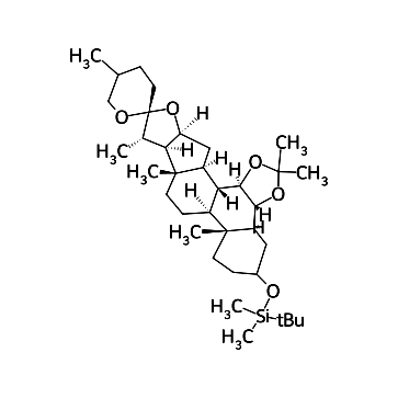 CC1CC[C@@]2(OC1)O[C@H]1C[C@H]3[C@@H]4[C@H]5OC(C)(C)O[C@@H]5[C@H]5CC(O[Si](C)(C)C(C)(C)C)CC[C@]5(C)[C@H]4CC[C@]3(C)[C@H]1[C@@H]2C